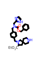 CCOC(=O)C1CC2(CCNCC2)CN1Cc1ccc(CN(Cc2ncc[nH]2)C(=O)OCc2ccccc2)cc1